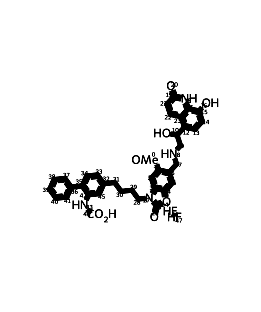 COc1cc2c(cc1CNCC(O)c1ccc(O)c3[nH]c(=O)ccc13)oc(=O)n2CCCCc1ccc(-c2ccccc2)c(NC(=O)O)c1.F.F